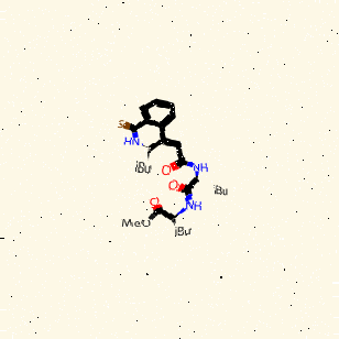 CC[C@H](C)[C@H](NC(=O)/C=C1/c2ccccc2C(=S)N[C@H]1[C@@H](C)CC)C(=O)N[C@H](C(=O)OC)[C@@H](C)CC